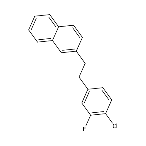 Fc1cc(CCc2ccc3ccccc3c2)ccc1Cl